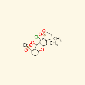 CCS(=O)(=O)C1=C(C(=O)c2ccc3c(c2Cl)S(=O)(=O)CCC3(C)C)C(=O)CCC1